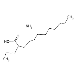 CCCCCCCCCCC(CCC)C(=O)O.N